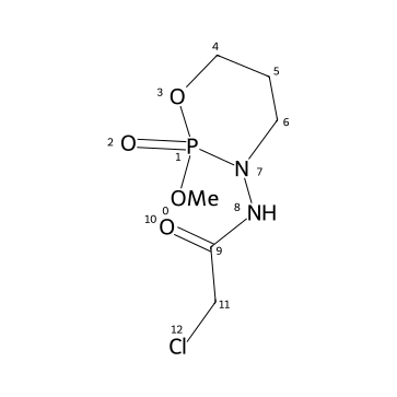 COP1(=O)OCCCN1NC(=O)CCl